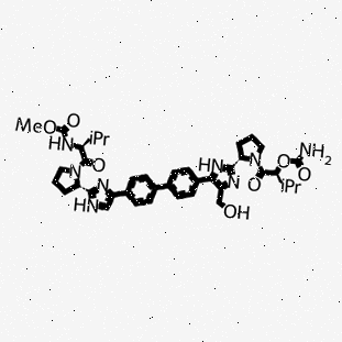 COC(=O)N[C@H](C(=O)N1CCC[C@H]1c1nc(-c2ccc(-c3ccc(-c4[nH]c([C@@H]5CCCN5C(=O)[C@@H](OC(N)=O)C(C)C)nc4CO)cc3)cc2)c[nH]1)C(C)C